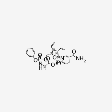 C=C[C@@H]1[C@H](C=C)[C@@H](COP(=O)(N[C@@H](C)C(=O)OC(C)C)Oc2ccccc2)O[C@H]1N1C=CCC(C(N)=O)=C1